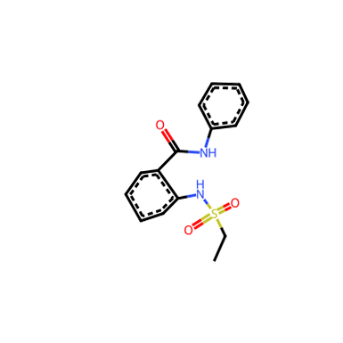 CCS(=O)(=O)Nc1ccccc1C(=O)Nc1ccccc1